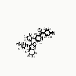 CN[C@@H](C)C(=O)N[C@H](C(=O)N1CCC[C@H]1c1ccnc(C(=O)c2ccc(F)cc2)c1)C1CCCCC1